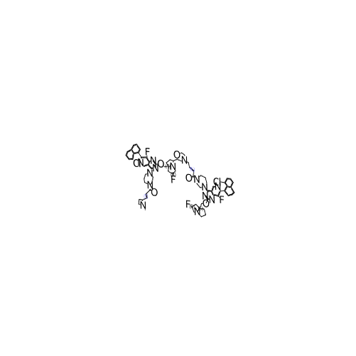 CN1CCC1/C=C/C(=O)N1CCCN(c2nc(OC[C@@]34CCC(C5CN(C/C=C/C(=O)N6CCCN(c7nc(OC[C@@]89CCCN8C[C@H](F)C9)nc8c(F)c(-c9cccc%10cccc(Cl)c9%10)ncc78)CC6)CCO5)N3C[C@H](F)C4)nc3c(F)c(-c4cccc5cccc(Cl)c45)ncc23)CC1